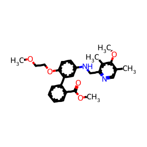 COCCOc1ccc(NCc2ncc(C)c(OC)c2C)cc1-c1ccccc1C(=O)OC